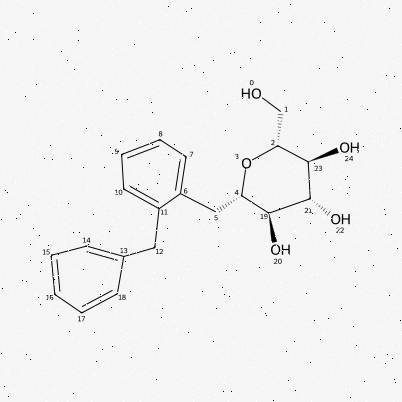 OC[C@H]1O[C@@H](Cc2ccccc2Cc2ccccc2)[C@H](O)[C@@H](O)[C@@H]1O